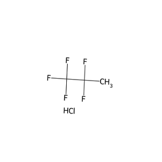 CC(F)(F)C(F)(F)F.Cl